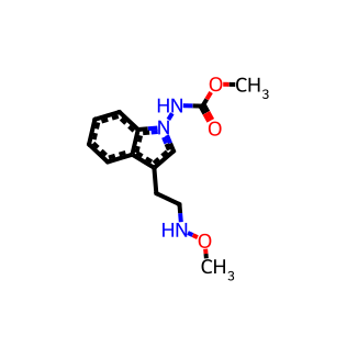 CONCCc1cn(NC(=O)OC)c2ccccc12